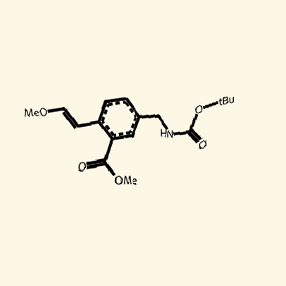 COC=Cc1ccc(CNC(=O)OC(C)(C)C)cc1C(=O)OC